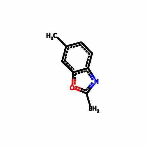 Bc1nc2ccc(C)cc2o1